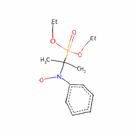 CCOP(=O)(OCC)C(C)(C)N([O])c1ccccc1